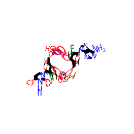 Nc1ncnc2c1ncn2[C@@H]1O[C@@H]2COP(=O)(S)O[C@H]3[C@@H](F)[C@H](n4ccc(=O)[nH]c4=O)O[C@@H]3COP(=O)(O)O[C@H]2[C@H]1F